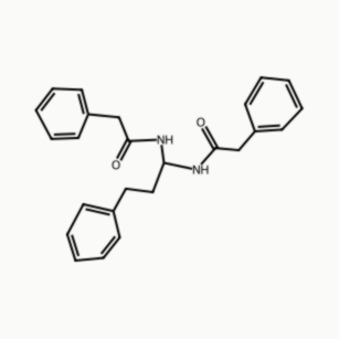 O=C(Cc1ccccc1)NC(CCc1ccccc1)NC(=O)Cc1ccccc1